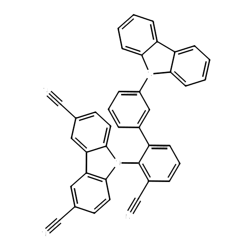 N#Cc1ccc2c(c1)c1cc(C#N)ccc1n2-c1c(C#N)cccc1-c1cccc(-n2c3ccccc3c3ccccc32)c1